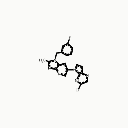 Cc1nc2ncc(-n3ccc4ncc(Cl)nc43)cc2n1Cc1cccc(F)c1